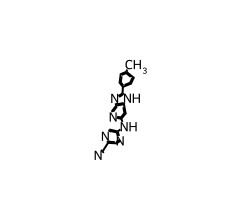 Cc1ccc(-c2nc3cnc(Nc4cnc(C#N)cn4)cc3[nH]2)cc1